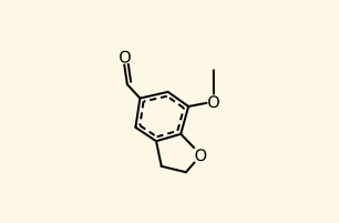 COc1cc(C=O)cc2c1OCC2